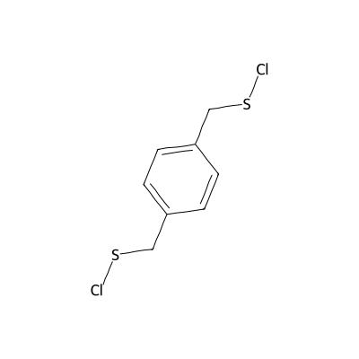 ClSCc1ccc(CSCl)cc1